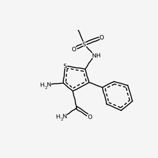 CS(=O)(=O)Nc1sc(N)c(C(N)=O)c1-c1ccccc1